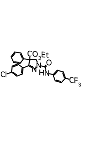 CCOC(=O)C1(c2ccccc2)CN(C(=O)Nc2ccc(C(F)(F)F)cc2)N=C1c1ccc(Cl)cc1